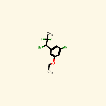 CC(F)(F)C(Br)c1cc(Br)cc(OCC(F)(F)F)c1